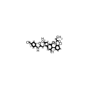 C=CC(=O)Nc1c(Cl)cccc1-c1c(CC)nc2n(CC(=O)Nc3ccc(Cl)cc3)c(C)cn2c1=O